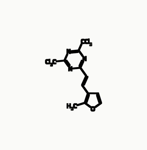 Cc1occc1C=Cc1nc(C(Cl)(Cl)Cl)nc(C(Cl)(Cl)Cl)n1